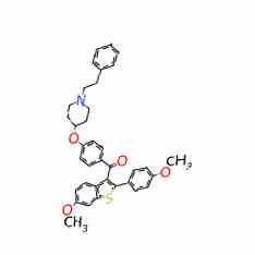 COc1ccc(-c2sc3cc(OC)ccc3c2C(=O)c2ccc(OC3CCN(CCc4ccccc4)CC3)cc2)cc1